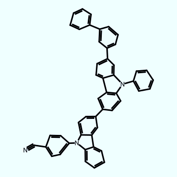 N#Cc1ccc(-n2c3ccccc3c3cc(-c4ccc5c(c4)c4ccc(-c6cccc(-c7ccccc7)c6)cc4n5-c4ccccc4)ccc32)cc1